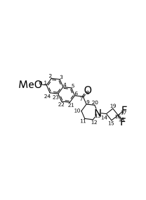 COc1ccc2cc(C(=O)C3CCCN(C4CC(F)(F)C4)C3)ccc2c1